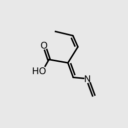 C=N/C=C(\C=C/C)C(=O)O